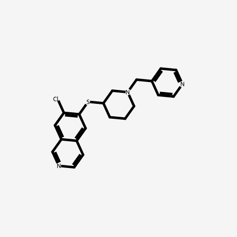 Clc1cc2cnccc2cc1SC1CCCN(Cc2ccncc2)C1